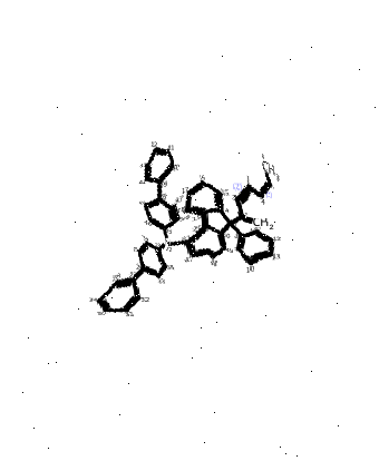 C=C(/C=C\C=C/C)C1(c2ccccc2)c2ccccc2-c2c(N(c3ccc(-c4ccccc4)cc3)c3ccc(-c4ccccc4)cc3)cccc21